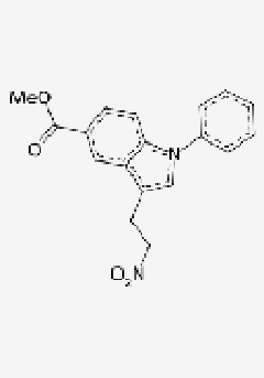 COC(=O)c1ccc2c(c1)c(CC[N+](=O)[O-])cn2-c1ccccc1